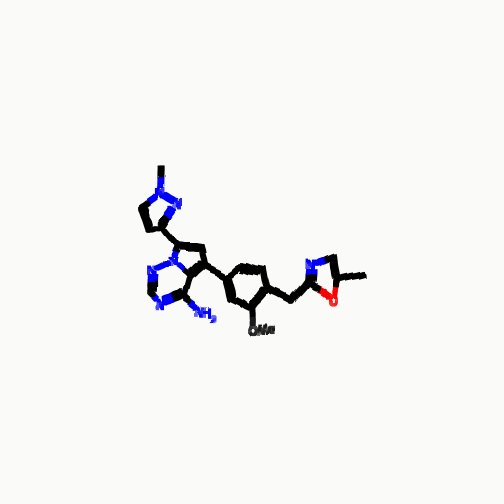 COc1cc(-c2cc(-c3ccn(C)n3)n3ncnc(N)c23)ccc1Cc1ncc(C)o1